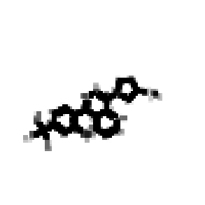 CC1CCN(c2nnc(-c3ccc(C(F)(F)F)cc3O)c3cccnc23)C1